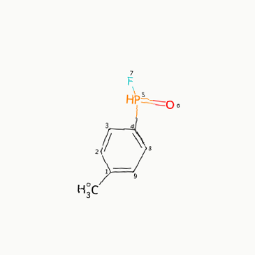 Cc1ccc([PH](=O)F)cc1